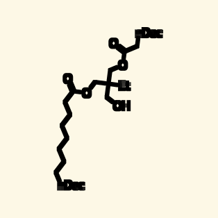 CCCCCCCCCCCCCCCCCC(=O)OCC(CC)(CO)COC(=O)CCCCCCCCCCC